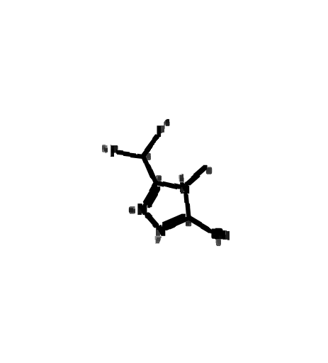 Cn1c(C(F)F)nnc1C(C)(C)C